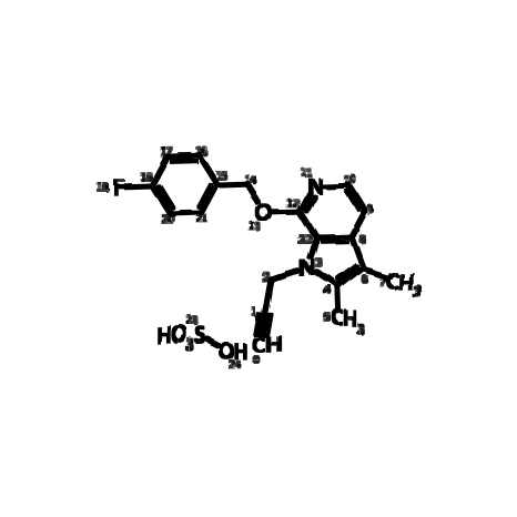 C#CCn1c(C)c(C)c2ccnc(OCc3ccc(F)cc3)c21.O=S(=O)(O)O